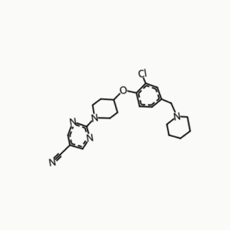 N#Cc1cnc(N2CCC(Oc3ccc(CN4CCCCC4)cc3Cl)CC2)nc1